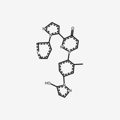 Cc1cc(-n2nccc2O)ccc1-n1ccc(=O)c(-c2ccnn2-c2ccccc2)n1